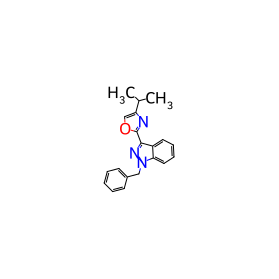 CC(C)c1coc(-c2nn(Cc3ccccc3)c3ccccc23)n1